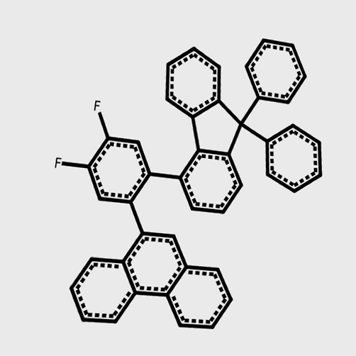 Fc1cc(-c2cccc3c2-c2ccccc2C3(c2ccccc2)c2ccccc2)c(-c2cc3ccccc3c3ccccc23)cc1F